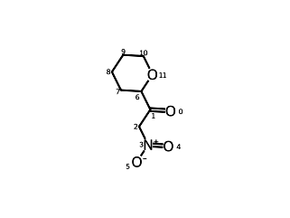 O=C(C[N+](=O)[O-])C1CCCCO1